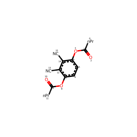 CCCC(=O)Oc1ccc(OC(=O)CCC)c(C#N)c1C#N